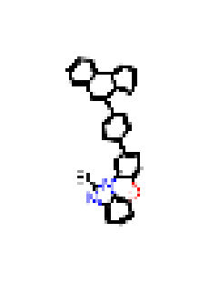 CCc1nc2cccc3c2n1-c1cc(-c2ccc(-c4cc5ccccc5c5ccccc45)cc2)ccc1O3